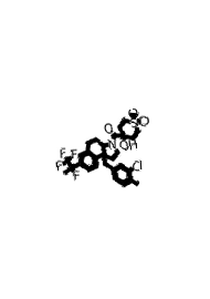 Cc1ccc(CC23CCN(C(=O)C4(O)CCS(=O)(=O)CC4)C2CCc2cc(C(C)(F)C(F)(F)F)ccc23)cc1Cl